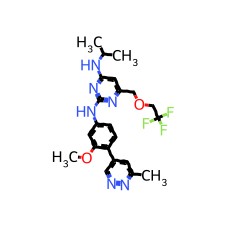 COc1cc(Nc2nc(COCC(F)(F)F)cc(NC(C)C)n2)ccc1-c1cnnc(C)c1